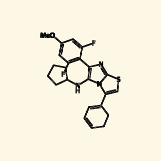 COc1cc(F)c(-c2nc3scc(C4=CC=CCC4)n3c2NC2CCCC2)c(F)c1